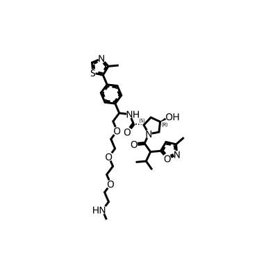 CNCCOCCOCCOCC(NC(=O)[C@@H]1C[C@@H](O)CN1C(=O)C(c1cc(C)no1)C(C)C)c1ccc(-c2scnc2C)cc1